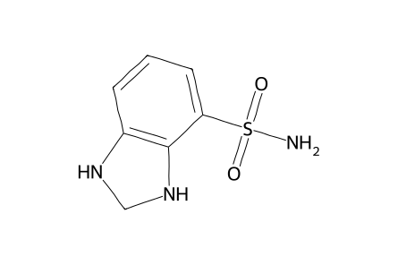 NS(=O)(=O)c1cccc2c1NCN2